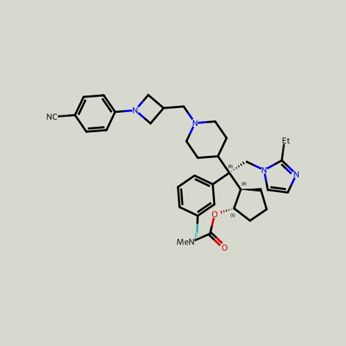 CCc1nccn1C[C@](c1cccc(F)c1)(C1CCN(CC2CN(c3ccc(C#N)cc3)C2)CC1)[C@H]1CCC[C@@H]1OC(=O)NC